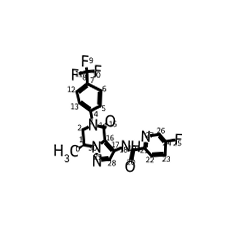 C[C@H]1CN(c2ccc(C(F)(F)F)cc2)C(=O)c2c(NC(=O)c3ccc(F)cn3)cnn21